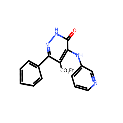 CCOC(=O)c1c(-c2ccccc2)n[nH]c(=O)c1Nc1cccnc1